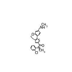 CNCc1ccc2c(c1)OCCc1cc(C(=O)N(C)c3ccccc3Cl)sc1-2